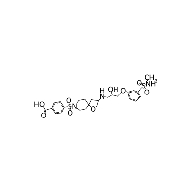 CNS(=O)(=O)c1cccc(OCC(O)CNC2COC3(CCN(S(=O)(=O)c4ccc(C(=O)O)cc4)CC3)C2)c1